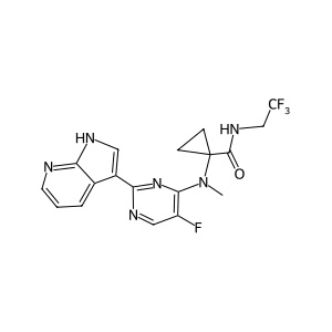 CN(c1nc(-c2c[nH]c3ncccc23)ncc1F)C1(C(=O)NCC(F)(F)F)CC1